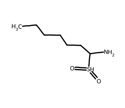 CCCCCCC(N)[SH](=O)=O